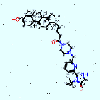 C[C@H](CCC(=O)N1CCN(Cc2cccc(C3NCC(=O)N3C(C)(C)C)n2)CC1)[C@H]1CC[C@H]2[C@@H]3CC[C@@H]4C[C@H](O)CC[C@]4(C)[C@H]3CC[C@]12C